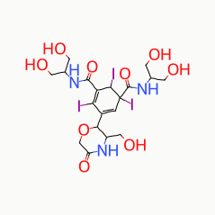 O=C1COC(C2=CC(I)(C(=O)NC(CO)CO)C(I)C(C(=O)NC(CO)CO)=C2I)C(CO)N1